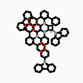 c1ccc(-c2cccc(-c3ccccc3)c2N2c3cc(-c4ccc(-n5c6ccccc6c6ccccc65)cc4)ccc3B3c4c2cc(-n2c5ccccc5c5ccccc52)cc4N(c2c(-c4ccccc4)cccc2-c2ccccc2)C2C[C@@H](n4c5ccccc5c5ccccc54)C32)cc1